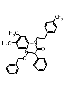 Cc1ccc(N(CCc2ccc(C(F)(F)F)cc2)C(=O)[C@H](C(=O)OCc2ccccc2)c2ccccc2)cc1C